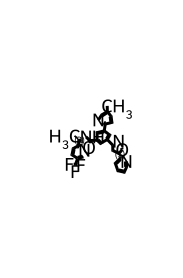 Cc1ccc(-c2cc(C(=O)N[C@H](C)c3ccc(C(F)(F)F)cn3)cc(C3=NO[C@H](c4ccccn4)C3)c2)nc1